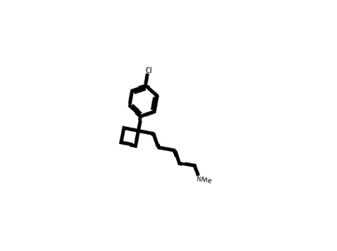 CNCCCCCC1(c2ccc(Cl)cc2)CCC1